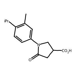 Cc1cc(N2CC(C(=O)O)CC2=O)ccc1C(C)C